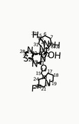 O=C(O)N1C[C@H]2CC[C@@H]1CN(c1nc(OC[C@@]34CCCN3C[C@H](F)C4)nc3scnc13)C2